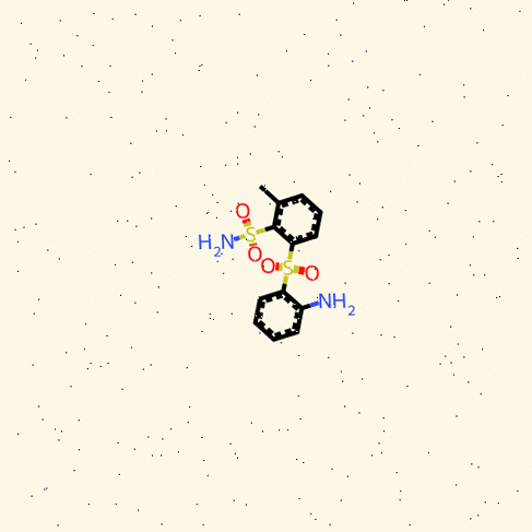 Cc1cccc(S(=O)(=O)c2ccccc2N)c1S(N)(=O)=O